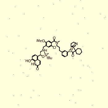 COc1cc(C(=O)N(C)CCCc2cccc(OC(=O)C3([C@@H]4CN5CCC4CC5)CCCCC3)c2)c(Cl)cc1CNC[C@@H](O[Si](C)(C)C(C)(C)C)c1ccc(O)c2[nH]c(=O)ccc12